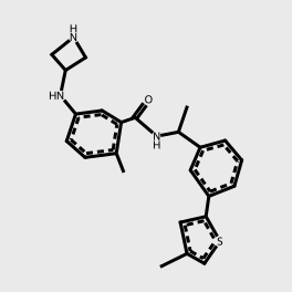 Cc1csc(-c2cccc(C(C)NC(=O)c3cc(NC4CNC4)ccc3C)c2)c1